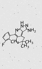 Cc1c(F)cccc1-c1nc2[nH]nc(N)c2c2c1CCC(C)(C)C2